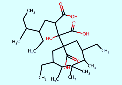 CCC(C)C(CC)CC(C(=O)O)C(O)(C(=O)O)C(CC(CC)C(C)CC)(CC(CC)C(C)CC)C(=O)O